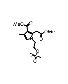 COC(=O)Cc1c(C(=O)OC)c(C)cn1CCOS(C)(=O)=O